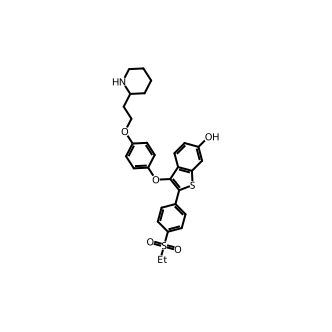 CCS(=O)(=O)c1ccc(-c2sc3cc(O)ccc3c2Oc2ccc(OCCC3CCCCN3)cc2)cc1